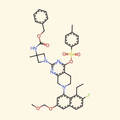 CCc1c(F)ccc2cc(OCOC)cc(N3CCc4c(nc(N5CC(C)(NC(=O)OCc6ccccc6)C5)nc4OS(=O)(=O)c4ccc(C)cc4)C3)c12